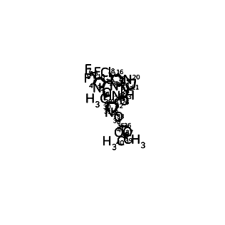 COc1ncc(C(F)(F)F)cc1-c1nc2c(cc1Cl)N1CC[C@@H](C1)N2C(=O)Nc1ccnc(OC[C@@H]2COC(C)(C)O2)c1